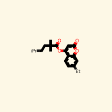 CCc1ccc2c(OC(=O)C(C)(C)CCC(C)C)cc(=O)oc2c1